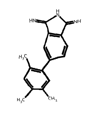 Cc1cc(C)c(-c2ccc3c(c2)C(=N)NC3=N)cc1C